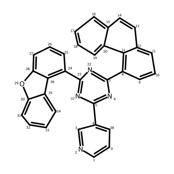 c1cncc(-c2nc(-c3cccc4ccc5ccccc5c34)nc(-c3cccc4oc5ccccc5c34)n2)c1